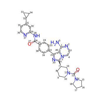 Nc1nccn2c([C@@H]3CCCN(C(=O)N4CCCC4)C3)nc(-c3ccc(C(=O)Nc4cc(C5CC5)ccn4)cc3)c12